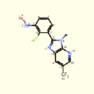 Cn1c(-c2cccc(NBr)c2F)nc2cc(C(F)(F)F)cnc21